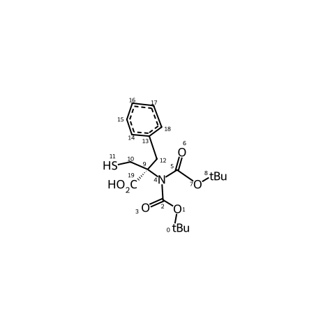 CC(C)(C)OC(=O)N(C(=O)OC(C)(C)C)[C@@](CS)(Cc1ccccc1)C(=O)O